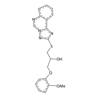 COc1ccccc1OCC(O)CSc1nc2c3ccccc3ncn2n1